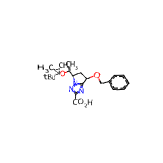 CC(O[Si](C)(C)C(C)(C)C)C1CC(OCc2ccccc2)c2nc(C(=O)O)nn21